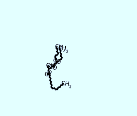 CCCCC/C=C\C/C=C\CCCCCCCC(=O)OCC(CO)COC(=O)CCC(OC/C=C\CCCCCC)OC/C=C\CCCCCC